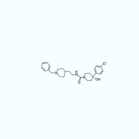 O=C(NCCC1CCN(Cc2ccccc2)CC1)N1CCC(O)(c2ccc(Cl)cc2)CC1